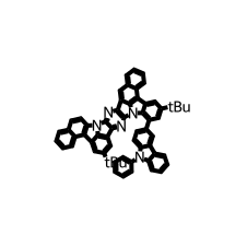 CC(C)(C)c1cc(-c2ccc3c(c2)c2ccccc2n3-c2ccccc2)c2c(c1)c1c3ccccc3cc3c4nc5c(nc4n2c31)c1cc(C(C)(C)C)cc2c3c4ccccc4ccc3n5c12